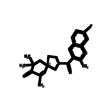 Cc1nc2cc(F)ccc2cc1C(=O)N1CC[C@]2(C=C(N)C(=O)C(C)(C)C2)C1